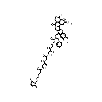 C=CCc1c2c(c(=O)n3c1-c1nc4cc(F)c(C)cc4c(CN(Cc4ccccc4)C(=O)COCNC(=O)CNC(=O)CNC(=O)CNC(=O)CCCCCN4C(=O)C=CC4=O)c1C3)COC(=O)[C@H]2O